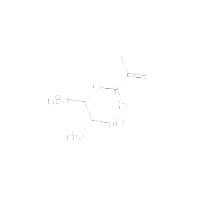 C=C(C)C(=O)OC(CCCC)C(O)CCC